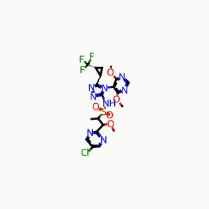 COc1ncnc(OC)c1-n1c(NS(=O)(=O)C(C)C(OC)c2ncc(Cl)cn2)nnc1[C@@H]1C[C@H]1C(F)(F)F